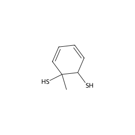 CC1(S)C=CC=CC1S